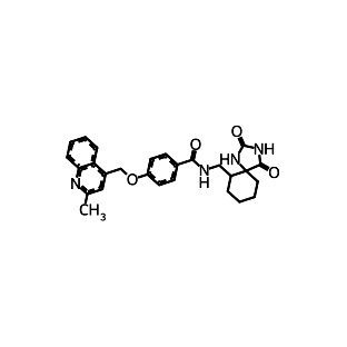 Cc1cc(COc2ccc(C(=O)NCC3CCCCC34NC(=O)NC4=O)cc2)c2ccccc2n1